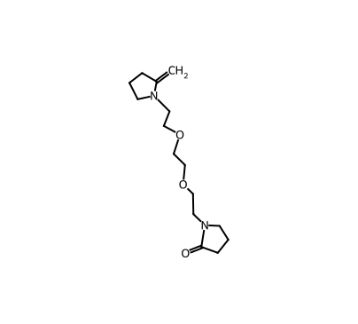 C=C1CCCN1CCOCCOCCN1CCCC1=O